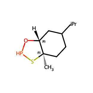 CC(C)C1CC[C@@]2(C)SPO[C@@H]2C1